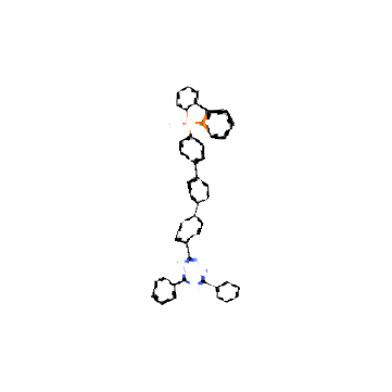 O[PH]1(c2ccc(-c3ccc(-c4ccc(-c5nc(-c6ccccc6)nc(-c6ccccc6)n5)cc4)cc3)cc2)c2ccccc2-c2ccccc21